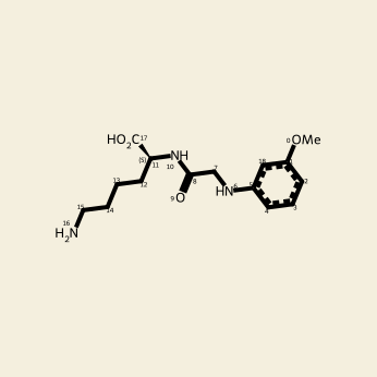 COc1cccc(NCC(=O)N[C@@H](CCCCN)C(=O)O)c1